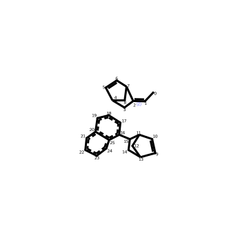 C/C=C1/CC2C=CC1C2.C1=CC2CC1CC2c1cccc2ccccc12